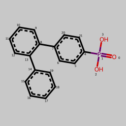 O=P(O)(O)c1ccc(-c2ccccc2-c2ccccc2)cc1